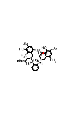 CCCCC(CC)CN(Cc1c(C)cc(C(C)(C)C)c(O)c1C)S(=O)(=O)c1ccccc1S(=O)(=O)N(Cc1c(C)cc(C(C)(C)C)c(O)c1C)CC(CC)CCCC